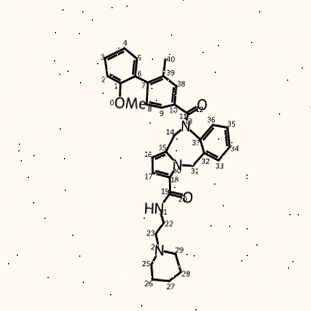 COc1ccccc1-c1ccc(C(=O)N2Cc3ccc(C(=O)NCCN4CCCCC4)n3Cc3ccccc32)cc1C